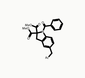 COC(=O)C1(C(=O)OC)Cc2cc(CC(C)=O)ccc2N1C(=O)c1ccccc1